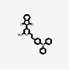 CC(C)(C)C1=CC(=C2C(=O)c3ccccc3C2=O)C=C(C=Cc2ccc(N(c3ccccc3)c3ccccc3)cc2)O1